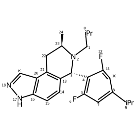 CC(C)CN1[C@H](c2c(F)cc(C(C)C)cc2F)c2ccc3[nH]ncc3c2C[C@H]1C